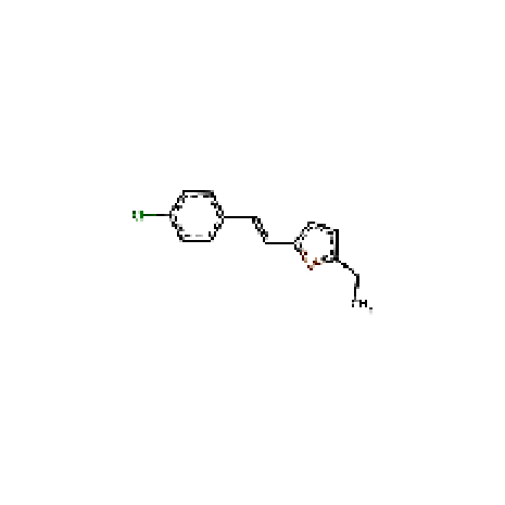 CCc1ccc(/C=C/c2ccc(Cl)cc2)s1